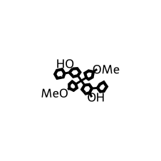 COc1ccc(C(c2ccc(OC)cc2)(c2ccc(O)c(-c3ccccc3)c2)c2ccc(O)c(-c3ccccc3)c2)cc1